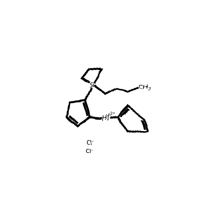 CCCC[Si]1(C2=[C]([Hf+2][C]3=CC=CC3)C=CC2)CCC1.[Cl-].[Cl-]